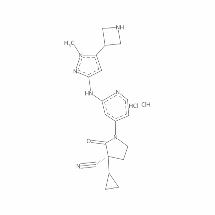 Cl.Cl.Cn1nc(Nc2cc(N3CC[C@@](C#N)(C4CC4)C3=O)ccn2)cc1C1CNC1